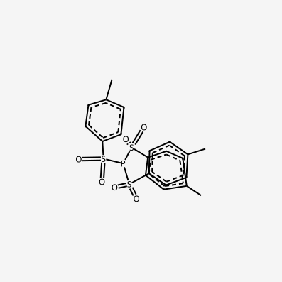 Cc1ccc(S(=O)(=O)P(S(=O)(=O)c2ccc(C)cc2)S(=O)(=O)c2ccc(C)cc2)cc1